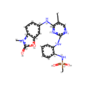 Cc1cnc(Nc2ccccc2NS(C)(=O)=O)nc1Nc1ccc2c(c1)oc(=O)n2C